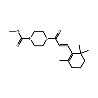 CNC(=O)N1CCN(C(=O)C=CC2=C(C)CCCC2(C)C)CC1